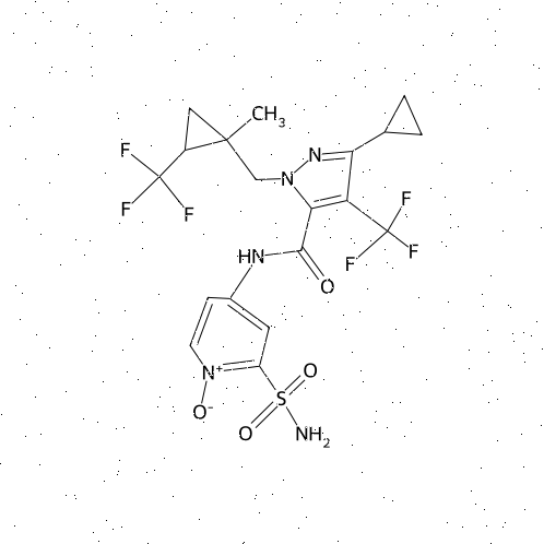 CC1(Cn2nc(C3CC3)c(C(F)(F)F)c2C(=O)Nc2cc[n+]([O-])c(S(N)(=O)=O)c2)CC1C(F)(F)F